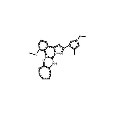 CCn1cc(-c2nc3c4cccc(SC)c4nc(Nc4ccccnc4=O)n3n2)c(C)n1